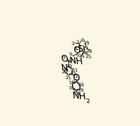 CC(C)[Si](OCCNC(=O)c1cc(Oc2ccc(N)cc2)ccn1)(C(C)C)C(C)C